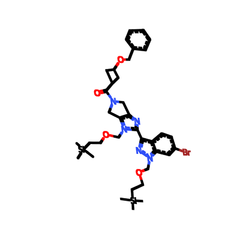 C[Si](C)(C)CCOCn1c(-c2nn(COCC[Si](C)(C)C)c3cc(Br)ccc23)nc2c1CN(C(=O)C1CC(OCc3ccccc3)C1)C2